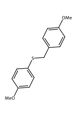 COc1ccc(CSc2ccc(OC)cc2)cc1